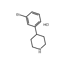 CCc1cccc(C2CCNCC2)c1.Cl